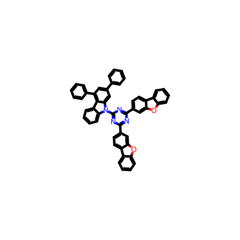 c1ccc(-c2cc(-c3ccccc3)c3c4ccccc4n(-c4nc(-c5ccc6c(c5)oc5ccccc56)nc(-c5ccc6c(c5)oc5ccccc56)n4)c3c2)cc1